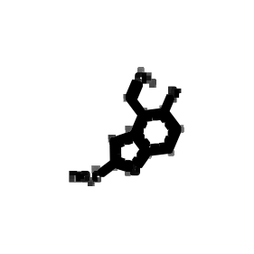 C=Cc1c(Br)ccc2oc(C(=O)OCC)cc12